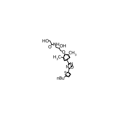 CCCCc1ccc(-c2nc(-c3cc(C)c(OCC(O)CNC(=O)CO)c(C)c3)no2)s1